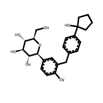 N#Cc1ccc([C@@H]2O[C@H](CO)[C@@H](O)[C@H](O)[C@H]2O)cc1Cc1ccc(C2(O)CCCC2)cc1